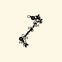 Cc1nc(NC(=O)c2ccccc2NC(=O)CCCCCCC(=O)NCCNC(=O)C[C@@H]2N=C(c3ccc(Cl)cc3)c3c(sc(C)c3C)-n3c(C)nnc32)sc1C